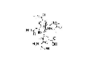 C[C@H](NC(=O)[C@H](CCC(N)=O)NC(=O)[C@H](CC(=O)O)NC(=O)[C@H](CCC(=O)O)NC(=O)[C@@H](N)[C@@H](C)O)C(=O)O